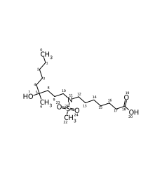 CCCCCC(C)(O)CCCN(CCCCCCC(=O)O)S(C)(=O)=O